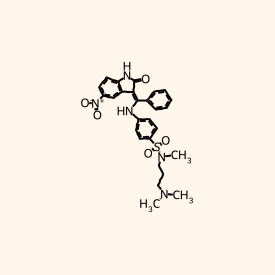 CN(C)CCCN(C)S(=O)(=O)c1ccc(NC(=C2C(=O)Nc3ccc([N+](=O)[O-])cc32)c2ccccc2)cc1